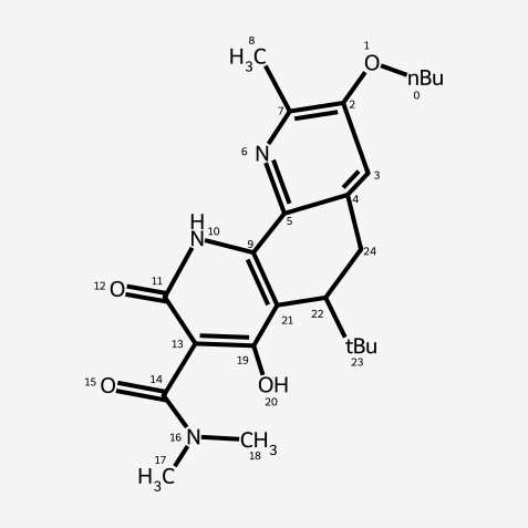 CCCCOc1cc2c(nc1C)-c1[nH]c(=O)c(C(=O)N(C)C)c(O)c1C(C(C)(C)C)C2